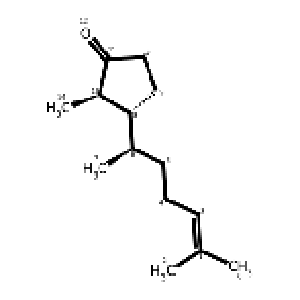 CC(C)=CCC[C@@H](C)[C@H]1CCC(=O)[C@@H]1C